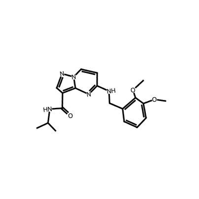 COc1cccc(CNc2ccn3ncc(C(=O)NC(C)C)c3n2)c1OC